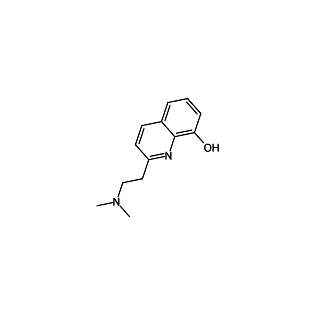 CN(C)CCc1ccc2cccc(O)c2n1